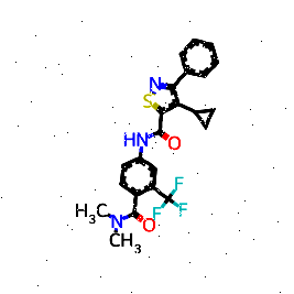 CN(C)C(=O)c1ccc(NC(=O)c2snc(-c3ccccc3)c2C2CC2)cc1C(F)(F)F